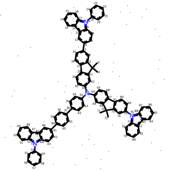 CC1(C)c2cc(-c3ccc4c(c3)c3ccccc3n4-c3ccccc3)ccc2-c2ccc(N(c3ccc(-c4ccc(-c5ccc6c(c5)c5ccccc5n6-c5ccccc5)cc4)cc3)c3ccc4c(c3)C(C)(C)c3cc(-n5c6ccccc6c6ccccc65)ccc3-4)cc21